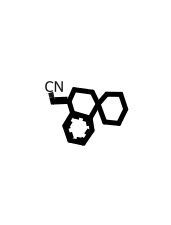 N#CC=C1CCC2(CCCCC2)c2ccccc21